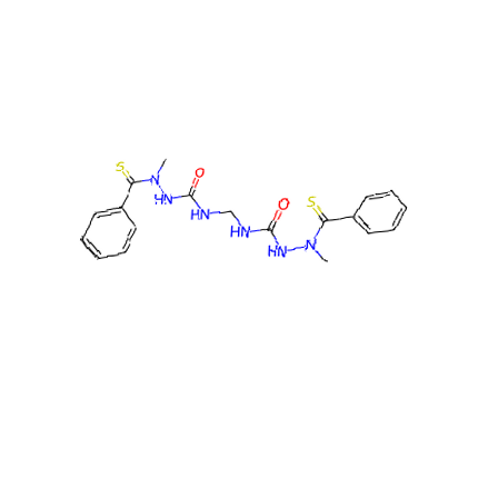 CN(NC(=O)NCNC(=O)NN(C)C(=S)c1ccccc1)C(=S)c1ccccc1